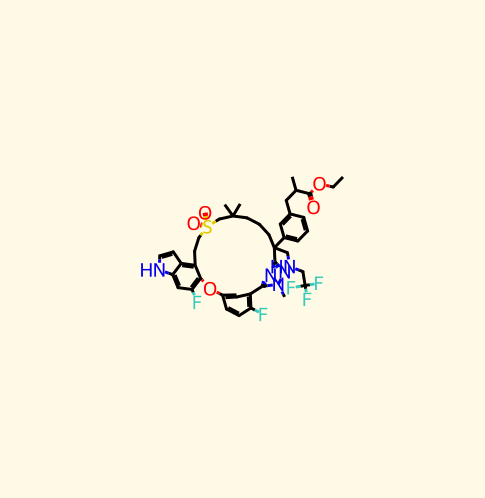 CCOC(=O)C(C)Cc1cccc(C2(CNCC(F)(F)F)CCCC(C)(C)CS(=O)(=O)CCc3c(c(F)cc4[nH]ccc34)Oc3ccc(F)c(c3)-c3nc2nn3C)c1